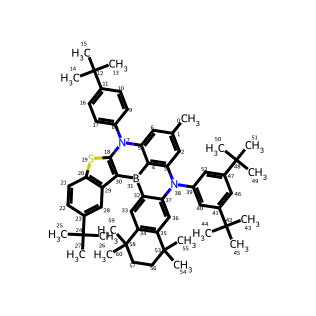 Cc1cc2c3c(c1)N(c1ccc(C(C)(C)C)cc1)c1sc4ccc(C(C)(C)C)cc4c1B3c1cc3c(cc1N2c1cc(C(C)(C)C)cc(C(C)(C)C)c1)C(C)(C)CCC3(C)C